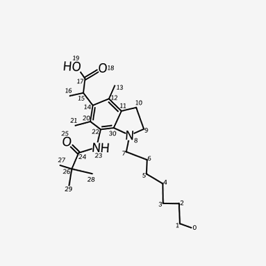 CCCCCCCCN1CCc2c(C)c(C(C)C(=O)O)c(C)c(NC(=O)C(C)(C)C)c21